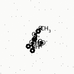 COc1ccc(C(=O)C[N+]23CCC(CC2)[C@@H](OC(=O)C(Nc2ccccc2)c2ccccc2)C3)cc1.O=C([O-])C(F)(F)F